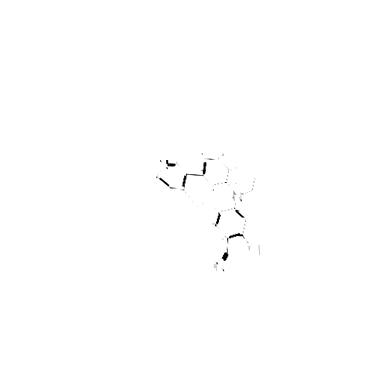 CCN(c1ccc(C#N)c(Cl)c1)C1CCC=C(c2cnccc2C)C1